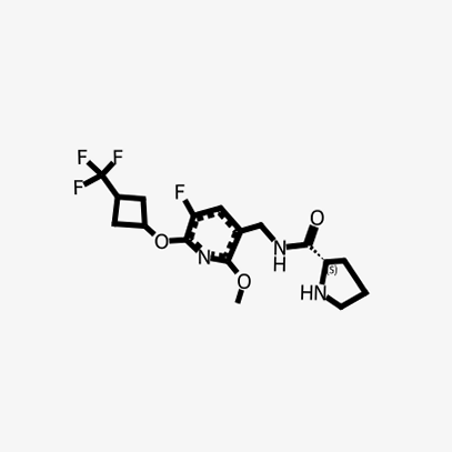 COc1nc(OC2CC(C(F)(F)F)C2)c(F)cc1CNC(=O)[C@@H]1CCCN1